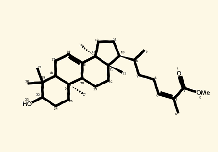 COC(=O)/C(C)=C\CCC(C)[C@@H]1CC[C@]2(C)C3=CCC4C(C)(C)C(O)CC[C@]4(C)C3CC[C@@]12C